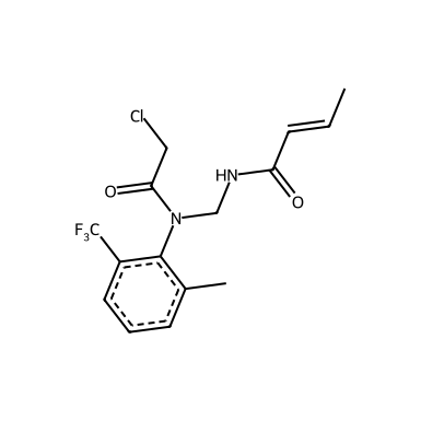 CC=CC(=O)NCN(C(=O)CCl)c1c(C)cccc1C(F)(F)F